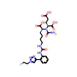 NC(=O)N([C@@H](CCCCNC(=O)Nc1ccccc1-c1cn(CCF)nn1)C(=O)O)[C@@H](CCC(=O)O)C(=O)O